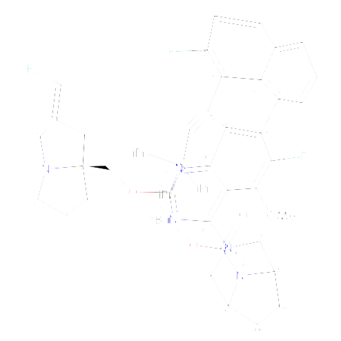 COc1c(F)c(-c2cccc3ccc(F)c(C#C[Si](C(C)C)(C(C)C)C(C)C)c23)c(F)c2nc(OC[C@@]34CCCN3C/C(=C\F)C4)nc(N3CC4CCC(C3)N4C(=O)OC(C)(C)C)c12